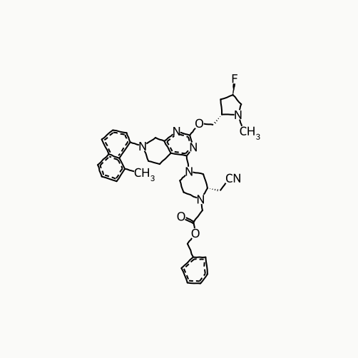 Cc1cccc2cccc(N3CCc4c(nc(OC[C@@H]5C[C@@H](F)CN5C)nc4N4CCN(CC(=O)OCc5ccccc5)[C@@H](CC#N)C4)C3)c12